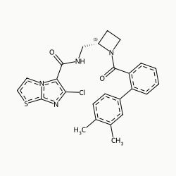 Cc1ccc(-c2ccccc2C(=O)N2CC[C@H]2CNC(=O)c2c(Cl)nc3sccn23)cc1C